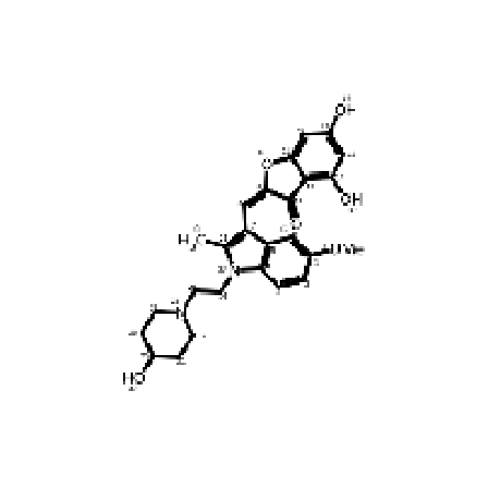 COc1ccc2c(c1)c(C=C1Oc3cc(O)cc(O)c3C1=O)c(C)n2CCN1CCC(O)CC1